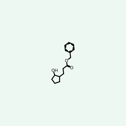 O=C(CCC1CCCC1O)OCc1ccccc1